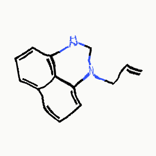 C=CCN1CNc2cccc3cccc1c23